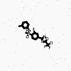 Cc1cccc(NP(C)(=O)c2ccc(-c3noc(C(F)(F)Cl)n3)cc2F)c1